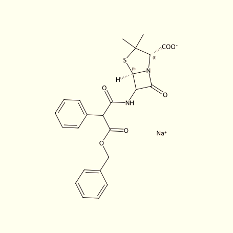 CC1(C)S[C@@H]2C(NC(=O)C(C(=O)OCc3ccccc3)c3ccccc3)C(=O)N2[C@H]1C(=O)[O-].[Na+]